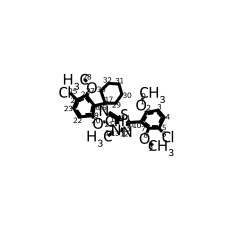 COc1ccc(Cl)c(OC)c1-c1nn(C)c(=NC2(c3c(OC)ccc(Cl)c3OC)CCCCC2)s1